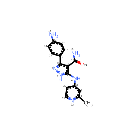 Cc1cc(Nc2[nH]nc(-c3ccc(N)cc3)c2C(N)=O)ccn1